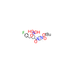 C[C@@H]1CN(C(=O)C(CCCc2ccc(F)cc2)CC(=O)N(O)O)CCN1C(=O)OC(C)(C)C